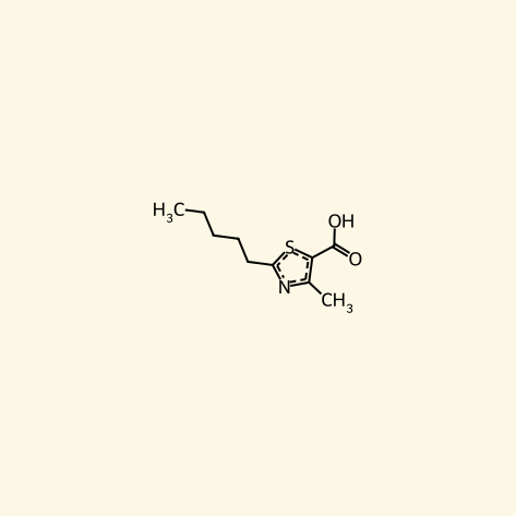 CCCCCc1nc(C)c(C(=O)O)s1